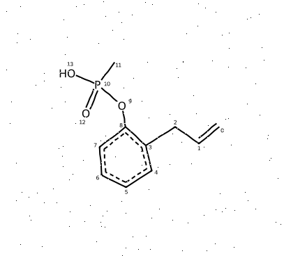 C=CCc1ccccc1OP(C)(=O)O